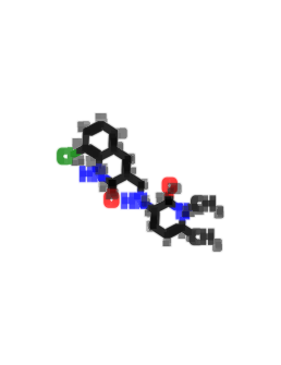 Cc1ccc(NCc2cc3cccc(Cl)c3[nH]c2=O)c(=O)n1C